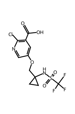 O=C(O)c1cc(OCC2(NS(=O)(=O)C(F)(F)F)CC2)cnc1Cl